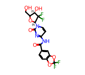 O=C(Nc1ccn([C@@H]2OC(CO)[C@H](O)C2(F)F)c(=O)n1)c1ccc2c(c1)OC(F)(F)O2